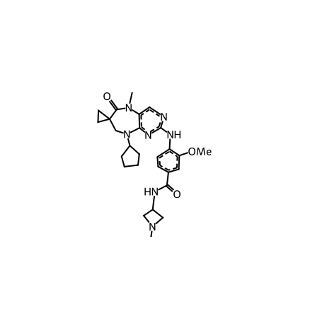 COc1cc(C(=O)NC2CN(C)C2)ccc1Nc1ncc2c(n1)N(C1CCCC1)CC1(CC1)C(=O)N2C